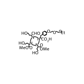 CCOCCOCCOc1ccc(CC(C(=O)O)N2CCN(C(C=O)CCO)CCN(C(CCO)C(=O)OC)CCN(C(CCO)C(=O)OC)CC2)cc1